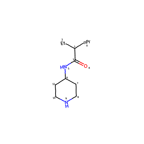 CCCC(CC)C(=O)NC1CCNCC1